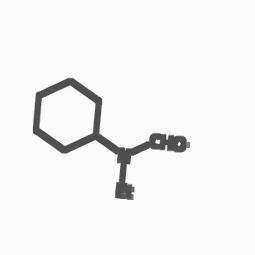 CCN([C]=O)C1CCCCC1